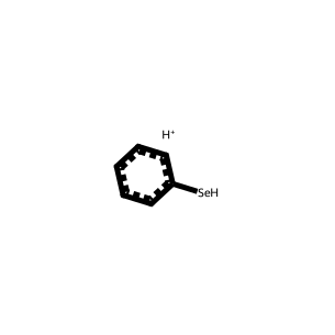 [H+].[SeH]c1ccccc1